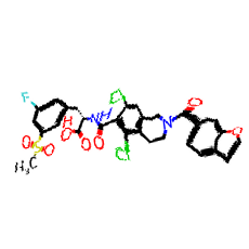 CS(=O)(=O)c1cc(F)cc(C[C@H](NC(=O)c2c(Cl)cc3c(c2Cl)CCN(C(=O)c2ccc4ccoc4c2)C3)C(=O)O)c1